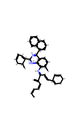 C=C(/C=C\C=C/C)C(/C=C/C1=CCCC=C1)=N/c1c(C)ccc2c1NC(C1=CC=CCC1C)N=C2c1cccc2ccccc12